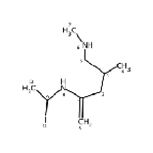 C=C(CC(C)CNC)NC(C)I